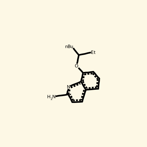 CCCCC(CC)Oc1cccc2ccc(N)nc12